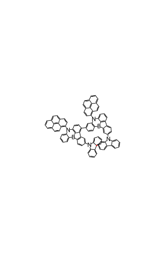 c1ccc2c(c1)B1c3ccc(-n4c5ccccc5c5ccccc54)cc3-c3c(-c4ccc5c(c4)N(c4ccc6ccc7cccc8ccc4c6c78)c4cccc6c4B5c4cc(-n5c7ccccc7c7ccccc75)ccc4-6)ccc(c31)N2c1ccc2ccc3cccc4ccc1c2c34